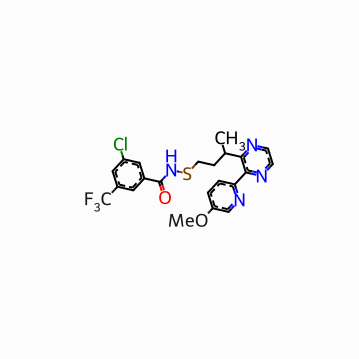 COc1ccc(-c2nccnc2C(C)CCSNC(=O)c2cc(Cl)cc(C(F)(F)F)c2)nc1